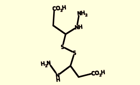 NNC(CC(=O)O)SSC(CC(=O)O)NN